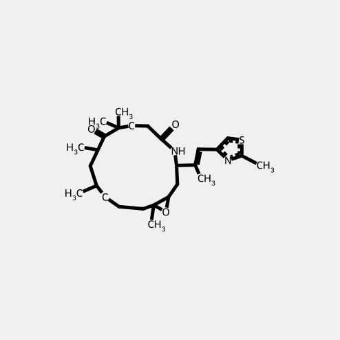 CC(=Cc1csc(C)n1)C1CC2OC2(C)CCCC(C)CC(C)C(=O)C(C)(C)CCC(=O)N1